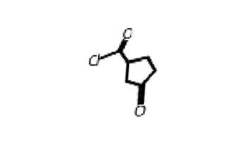 O=C1CCC(C(=O)Cl)C1